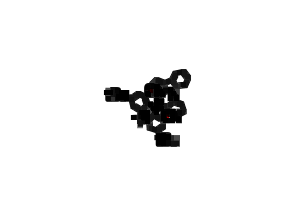 CC(C)(C)c1cc(C#N)c2c(c1)[Si](C)(C)c1cc(C(C)(C)C)cc(C#N)c1N2B1c2ccccc2-n2c3ccccc3c3cccc1c32